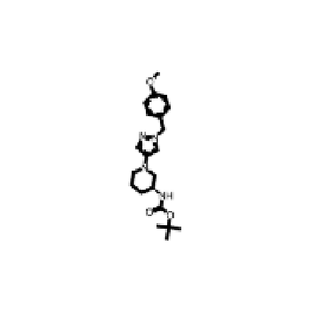 COc1ccc(Cn2cc(N3CCC[C@H](NC(=O)OC(C)(C)C)C3)cn2)cc1